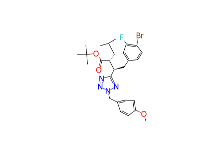 COc1ccc(Cn2nnc([C@H](Cc3ccc(Br)c(F)c3)[C@@H](CC(C)C)C(=O)OC(C)(C)C)n2)cc1